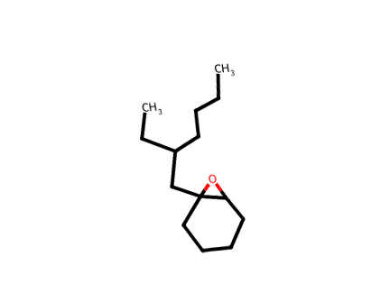 CCCCC(CC)CC12CCCCC1O2